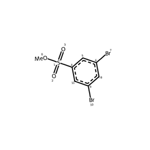 COS(=O)(=O)c1cc(Br)[c]c(Br)c1